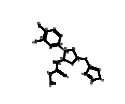 CC(C)(C)OC(=O)N[C@@H]1CN(Cc2csnn2)C[C@H]1c1ccc(F)c(F)c1